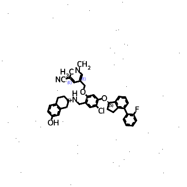 C=N/C=C(\C=C(/C)C#N)COc1cc(O[C@H]2CCc3c(-c4ccccc4F)cccc32)c(Cl)cc1CN[C@H]1CCc2ccc(O)cc2C1